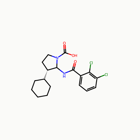 O=C(NC1[C@H](C2CCCCC2)CCN1C(=O)O)c1cccc(Cl)c1Cl